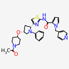 CC(=O)N1CCC(O[C@@H]2C[C@H](c3csc(NC(=O)c4cccn4Cc4ccncc4)n3)N(c3ccccc3)C2)CC1